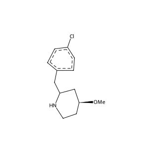 CO[C@H]1CCNC(Cc2ccc(Cl)cc2)C1